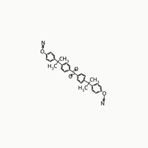 CC(C)(c1ccc(OC#N)cc1)c1ccc(S(=O)(=O)c2ccc(C(C)(C)c3ccc(OC#N)cc3)cc2)cc1